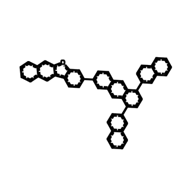 c1ccc2cc(-c3ccc(-c4ccc5ccccc5c4)c4cc5cc(-c6ccc7c(c6)oc6cc8ccccc8cc67)ccc5cc34)ccc2c1